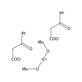 CC(C)(C)[O][Ti+2][O]C(C)(C)C.CC(C)C(=O)CC(=O)[O-].CC(C)C(=O)CC(=O)[O-]